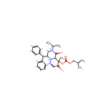 CC(C)COC(=O)OC1(C)C(=O)C=NN2C(C(c3ccccc3)c3ccccc3)CN(C(C)C)C(=O)C21